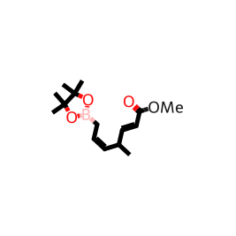 COC(=O)/C=C/C(C)/C=C\CB1OC(C)(C)C(C)(C)O1